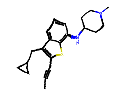 CC#Cc1sc2c(NC3CCN(C)CC3)cccc2c1CC1CC1